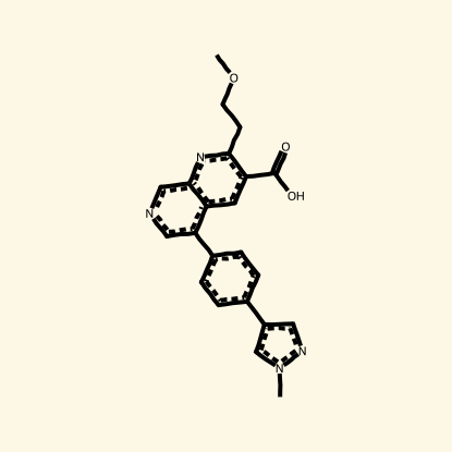 COCCc1nc2cncc(-c3ccc(-c4cnn(C)c4)cc3)c2cc1C(=O)O